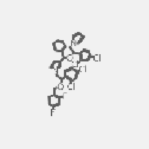 Fc1ccc(COC(Cn2ccc(C(OC(Cn3cccc3)c3ccc(Cl)cc3Cl)c3ccccc3)c2)c2ccc(Cl)cc2Cl)c(F)c1